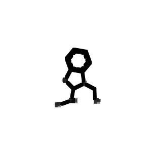 CC(C)CN1c2ccccc2OC1NC(C)C